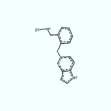 [CH2][CH]NCc1ccccc1Cc1ccc2[nH]ccc2c1